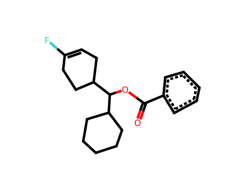 O=C(OC(C1CC=C(F)CC1)C1CCCCC1)c1ccccc1